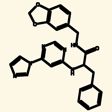 O=C(NCc1ccc2c(c1)OCO2)C(Cc1ccccc1)Nc1cc(-n2ccnc2)ncn1